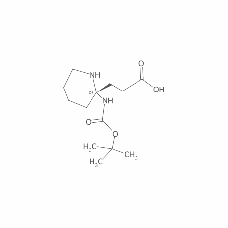 CC(C)(C)OC(=O)N[C@]1(CCC(=O)O)CCCCN1